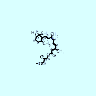 CC(C=C/C=C(/C)C=CC1=C(C)CCCC1(C)C)=CC(=O)OCC(=O)CO